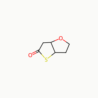 O=C1CC2OCCC2S1